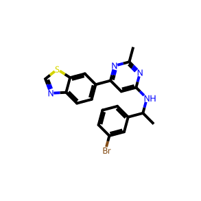 Cc1nc(NC(C)c2cccc(Br)c2)cc(-c2ccc3ncsc3c2)n1